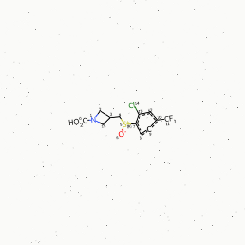 O=C(O)N1CC(C[S@+]([O-])c2ccc(C(F)(F)F)cc2Cl)C1